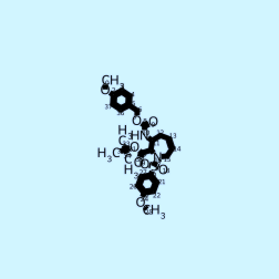 COc1ccc(COC(=O)NC2CC=CCN(S(=O)(=O)c3ccc(OC)cc3)C2C(=O)OC(C)(C)C)cc1